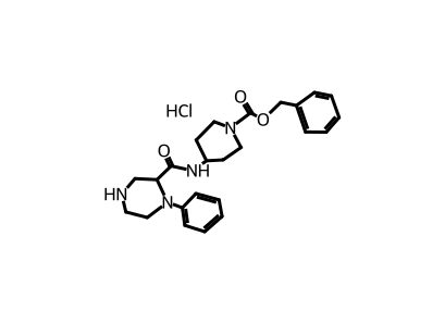 Cl.O=C(NC1CCN(C(=O)OCc2ccccc2)CC1)C1CNCCN1c1ccccc1